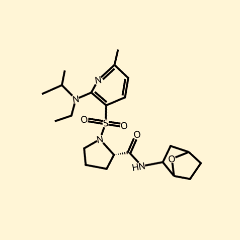 CCN(c1nc(C)ccc1S(=O)(=O)N1CCC[C@H]1C(=O)NC1CC2CCC1O2)C(C)C